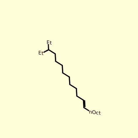 CCCCCCCC/C=C/CCCCCCCCC(CC)CC